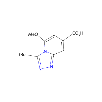 COc1cc(C(=O)O)cc2nnc(C(C)(C)C)n12